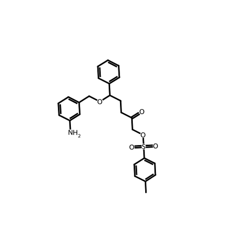 Cc1ccc(S(=O)(=O)OCC(=O)CCC(OCc2cccc(N)c2)c2ccccc2)cc1